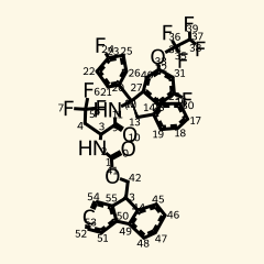 O=C(NC(CC(F)(F)F)C(=O)N[C@](Cc1ccccc1)(c1ccc(F)cc1)c1cc(F)cc(OC(F)(F)C(F)F)c1)OCC1c2ccccc2-c2ccccc21